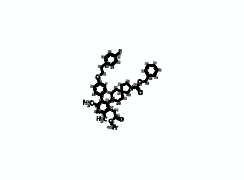 Cc1nc(C)c(-c2ccc(OCCc3ccc(F)cc3)cc2)c(N2CCC3(CCN(C(=O)OCc4ccccc4)C3)CC2)c1CC(=O)OC(C)C